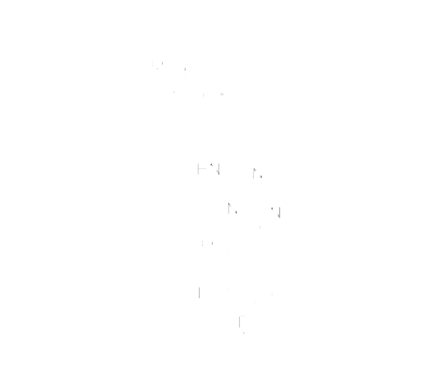 COc1c(-c2ncnc(Nc3cccc(CS(C)(=O)=O)c3)n2)ccc(F)c1F